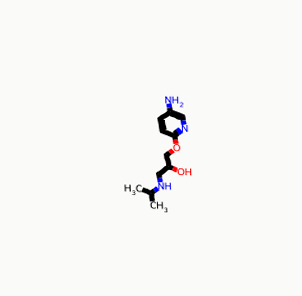 CC(C)NCC(O)COc1ccc(N)cn1